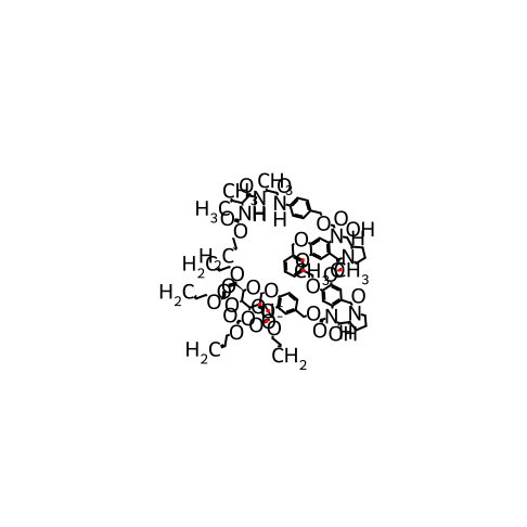 C=CCOC(=O)N[C@H](C(=O)N[C@@H](C)C(=O)Nc1ccc(COC(=O)N2c3cc(OCc4cccc(COc5cc6c(cc5OC)C(=O)N5CCC[C@H]5[C@H](O)N6C(=O)OCc5ccc(O[C@@H]6O[C@H](C(=O)OCC=C)[C@@H](OC(=O)OCC=C)[C@H](OC(=O)OCC=C)[C@H]6OC(=O)OCC=C)c([N+](=O)[O-])c5)c4)c(OC)cc3C(=O)N3CCC[C@H]3[C@@H]2O)cc1)C(C)C